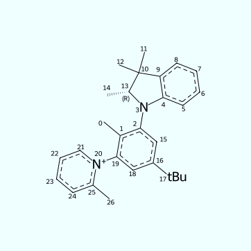 Cc1c(N2c3ccccc3C(C)(C)[C@H]2C)cc(C(C)(C)C)cc1-[n+]1ccccc1C